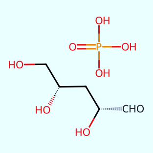 O=C[C@H](O)C[C@H](O)CO.O=P(O)(O)O